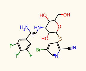 N#Cc1ncc(Br)cc1SC1OC(CO)C(O)C(N/C=C(\N)c2cc(F)c(F)c(F)c2)C1O